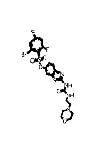 O=C(NCCN1CCOCC1)Nc1nc2ccc(OS(=O)(=O)c3c(F)cc(F)cc3Br)cc2s1